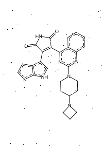 O=C1NC(=O)C(c2c[nH]c3sccc23)=C1c1nc(N2CCC(N3CCC3)CC2)nc2ccccc12